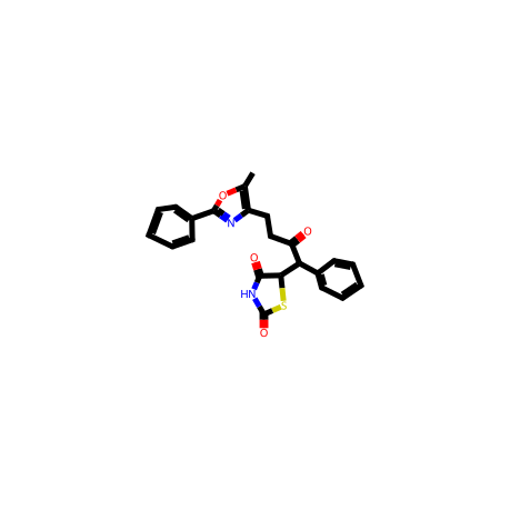 Cc1oc(-c2ccccc2)nc1CCC(=O)C(c1ccccc1)C1SC(=O)NC1=O